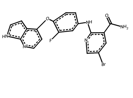 NC(=O)c1cc(Br)cnc1Nc1ccc(Oc2ccnc3[nH]ccc23)c(F)c1